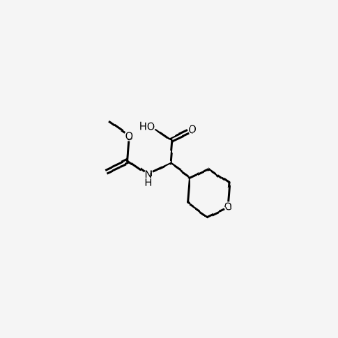 C=C(NC(C(=O)O)C1CCOCC1)OC